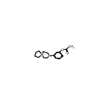 CC(=O)Oc1cccc(N2CC[N+]3(CCCC3)CC2)c1